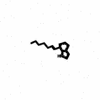 CCCCCC=Cc1cccc2cc[nH]c12